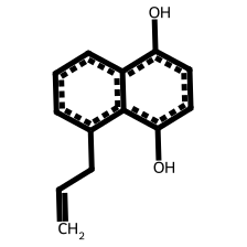 C=CCc1cccc2c(O)ccc(O)c12